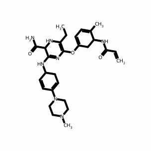 C=CC(=O)NC1CC(OC2=C(CC)NC(C(N)=O)C(NC3C=CC(N4CCN(C)CC4)=CC3)=N2)=CC=C1C